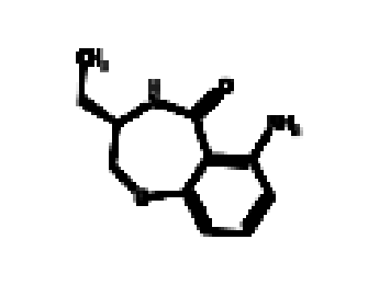 CC[C@@H]1COc2cccc(N)c2C(=O)N1